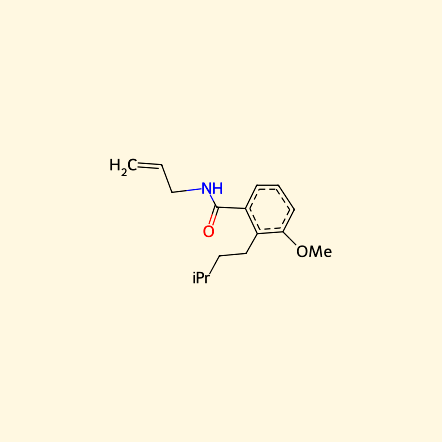 C=CCNC(=O)c1cccc(OC)c1CCC(C)C